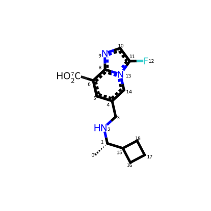 C[C@H](NCc1cc(C(=O)O)c2ncc(F)n2c1)C1CCC1